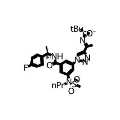 CCCN(c1cc(C(=O)N[C@H](C)c2ccc(F)cc2)cc(-n2cc(C(C)=N[S+]([O-])C(C)(C)C)nn2)c1)S(C)(=O)=O